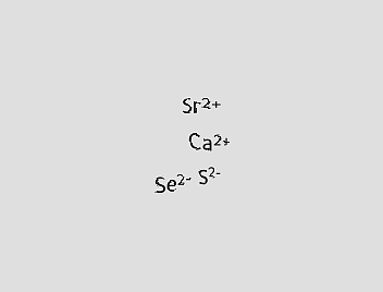 [Ca+2].[S-2].[Se-2].[Sr+2]